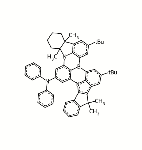 CC(C)(C)c1cc2c3c(c1)C1(C)CCCCC1(C)N3c1cc(N(c3ccccc3)c3ccccc3)cc3c1B2c1cc(C(C)(C)C)cc2c4c(n-3c12)-c1ccccc1C4(C)C